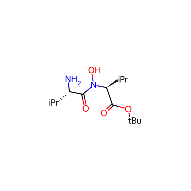 CC(C)[C@H](N)C(=O)N(O)[C@H](C(=O)OC(C)(C)C)C(C)C